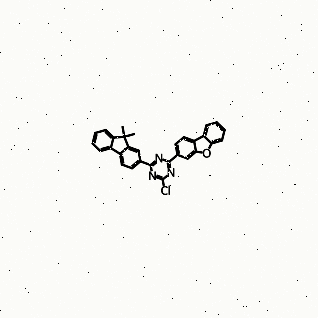 CC1(C)c2ccccc2-c2ccc(-c3nc(Cl)nc(-c4ccc5c(c4)oc4ccccc45)n3)cc21